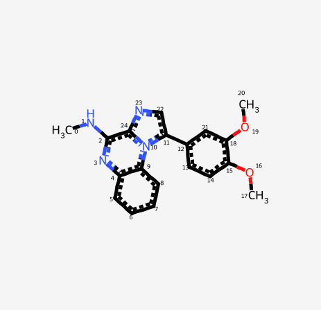 CNc1nc2ccccc2n2c(-c3ccc(OC)c(OC)c3)cnc12